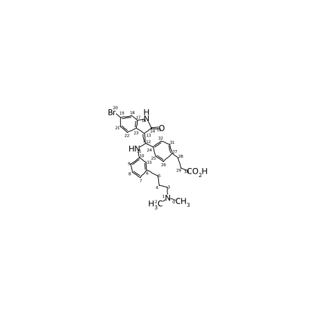 CN(C)CCCc1cccc(NC(=C2C(=O)Nc3cc(Br)ccc32)c2ccc(CCC(=O)O)cc2)c1